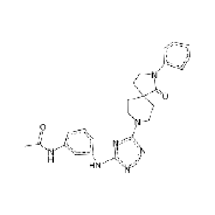 CC(=O)Nc1cccc(Nc2ncnc(N3CCC4(CC3)CCN(c3ccccc3)C4=O)n2)c1